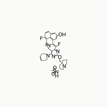 C#Cc1c(F)ccc2cc(O)cc(-c3ncc4c(N5CCC=CCC5)nc(OC[C@@]56CCCN5C[C@H](NS(C)(=O)=O)C6)nc4c3F)c12